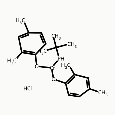 Cc1ccc([O][Cr]([O]c2ccc(C)cc2C)[PH]C(C)(C)C)c(C)c1.Cl